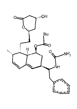 CCC(C)C(=O)O[C@H]1C[C@@H](C(Cc2ccccc2)NC(N)=O)C=C2C=C[C@H](C)[C@H](CC[C@@H]3C[C@@H](O)CC(=O)O3)[C@H]21